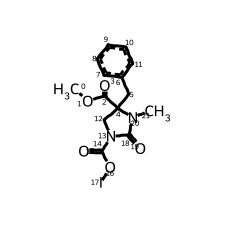 COC(=O)C1(Cc2ccccc2)CN(C(=O)OI)C(=O)N1C